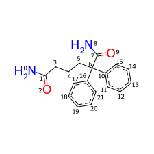 NC(=O)CCCC(C(N)=O)(c1ccccc1)c1ccccc1